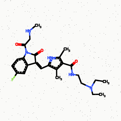 CCN(CC)CCNC(=O)c1c(C)[nH]c(/C=C2\C(=O)N(C(=O)CNC)c3ccc(F)cc32)c1C